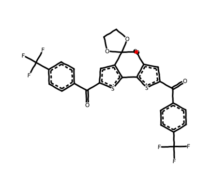 O=C(c1ccc(C(F)(F)F)cc1)c1cc2c(s1)-c1sc(C(=O)c3ccc(C(F)(F)F)cc3)cc1C1(OCCO1)C21OCCO1